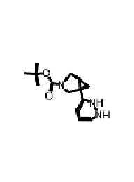 CC(C)(C)OC(=O)N1CC2CC2(C2=CC=CNN2)C1